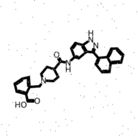 O=C(O)c1ccccc1CN1CCC(C(=O)Nc2ccc3[nH]nc(-c4cccc5ccccc45)c3c2)CC1